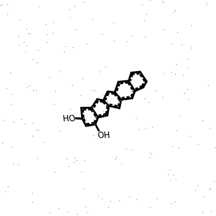 Oc1cc(O)c2cc3cc4cc5ccccc5cc4cc3cc2c1